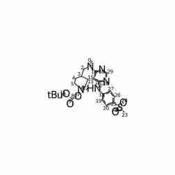 CN(CC1CCN(OC(=O)OC(C)(C)C)CC1)c1cc(Nc2ccc(S(C)(=O)=O)cc2)ncn1